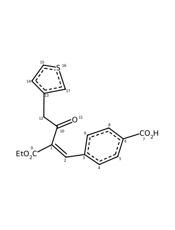 CCOC(=O)C(=Cc1ccc(C(=O)O)cc1)C(=O)Cc1ccsc1